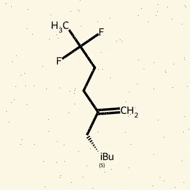 C=C(CCC(C)(F)F)C[C@@H](C)CC